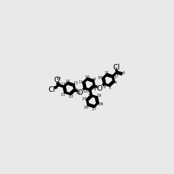 C=C(Cl)c1ccc(Oc2cccc(Oc3ccc(C(=O)Cl)cc3)c2-c2ccccc2)cc1